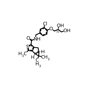 Cc1sc(C(=O)NCc2ccc(OC[C@@H](O)CO)c(Cl)c2)c2c1[C@H]1[C@@H](C2)C1(C)C